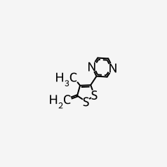 C=C1SSC(c2cnccn2)=C1C